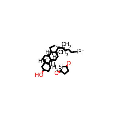 CC(C)CCC[C@@H](C)[C@H]1CC[C@H]2[C@@H]3CC=C4CC(O)CC[C@]4(C)[C@H]3CC[C@]12C.O=C1CCC(=O)[SiH2]1